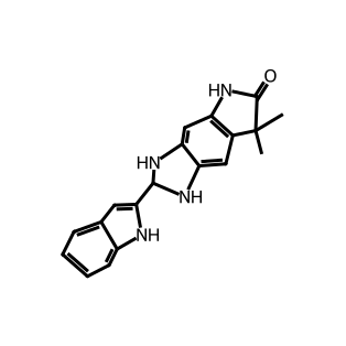 CC1(C)C(=O)Nc2cc3c(cc21)NC(c1cc2ccccc2[nH]1)N3